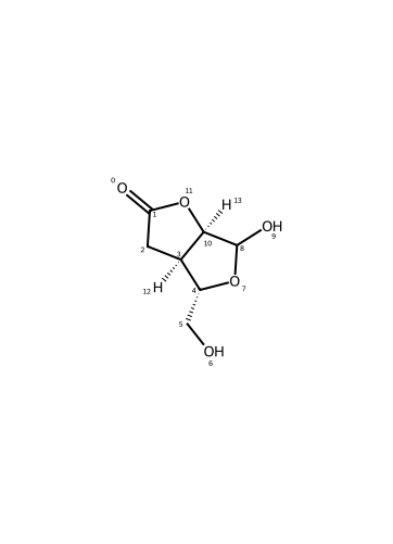 O=C1C[C@@H]2[C@@H](CO)OC(O)[C@@H]2O1